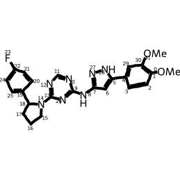 COc1ccc(-c2cc(Nc3ncnc(N4CCCC4c4ccc(F)cc4)n3)n[nH]2)cc1OC